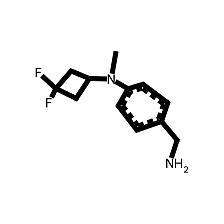 CN(c1ccc(CN)cc1)C1CC(F)(F)C1